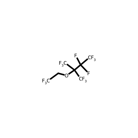 FC(F)(F)COC(C(F)(F)F)(C(F)(F)F)C(F)(F)C(F)(F)F